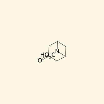 O=C1CC2CC(C1)N2C(=O)O